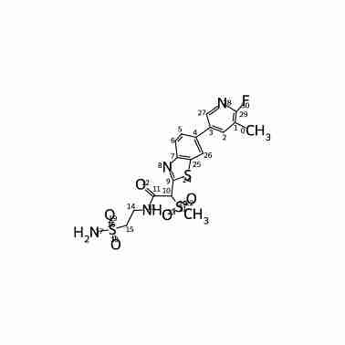 Cc1cc(-c2ccc3nc(C(C(=O)NCCS(N)(=O)=O)S(C)(=O)=O)sc3c2)cnc1F